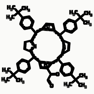 CC(C)(C)c1ccc(-c2c3nc(c(-c4ccc(C(C)(C)C)cc4)c4cc(C(=O)C=O)c([nH]4)c(-c4ccc(C(C)(C)C)cc4)c4nc(c(-c5ccc(C(C)(C)C)cc5)c5ccc2[nH]5)C=C4)C=C3)cc1